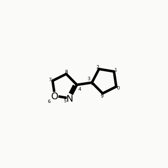 C1CC[C](C2=NOCC2)C1